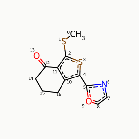 CSc1sc(-c2ncco2)c2c1C(=O)CCC2